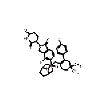 CC1(C)CCC(CN2CC3CCC(C2)N3C(=O)c2ccc3c(c2F)CN(C2CCC(=O)NC2=O)C3=O)=C(c2ccc(Cl)cc2)C1